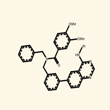 COc1ccc(C(=O)N(Cc2ccccc2)Cc2cccc(-c3ccc4ncnc(NC(C)C)c4c3)c2)cc1OC